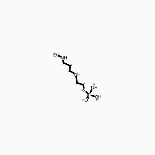 CCNCCCNCCSP(=O)(O)O